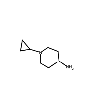 NN1CCN(C2CC2)CC1